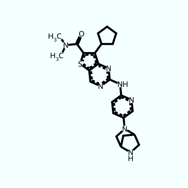 CN(C)C(=O)c1sc2cnc(Nc3ccc(N4CC5CC4CN5)cn3)nc2c1C1CCCC1